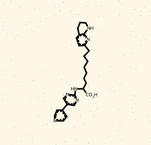 O=C(O)C(CCCCCCCc1ccc2c(n1)NCCC2)Nc1ncc(-c2ccncc2)cn1